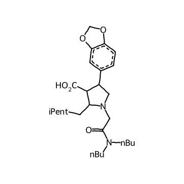 CCCCN(CCCC)C(=O)CN1CC(c2ccc3c(c2)OCO3)C(C(=O)O)C1CC(C)CCC